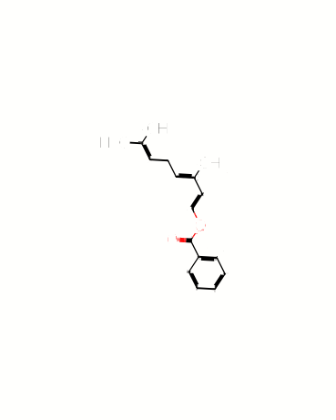 CC(C)=CCC=C(C)C=COC(=O)c1ccccc1